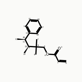 C=CC(=O)OCC(C)(C)[C@@H](C)[C@@H](C)c1ccccc1